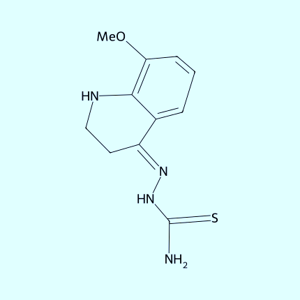 COc1cccc2c1NCCC2=NNC(N)=S